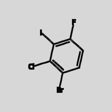 Fc1ccc(Br)c(Cl)c1I